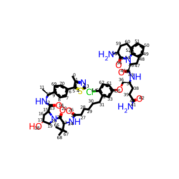 Cc1ncsc1-c1ccc([C@H](C)NC(=O)C2C[C@@H](O)CN2C(=O)[C@@H](NC(=O)CCCCCc2cc(OC[C@H](CCC(N)=O)NC(=O)[C@@H]3Cc4cccc5c4N3C(=O)[C@@H](N)CC5)ccc2Cl)C(C)(C)C)cc1